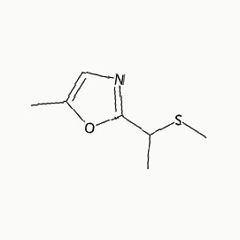 CSC(C)c1ncc(C)o1